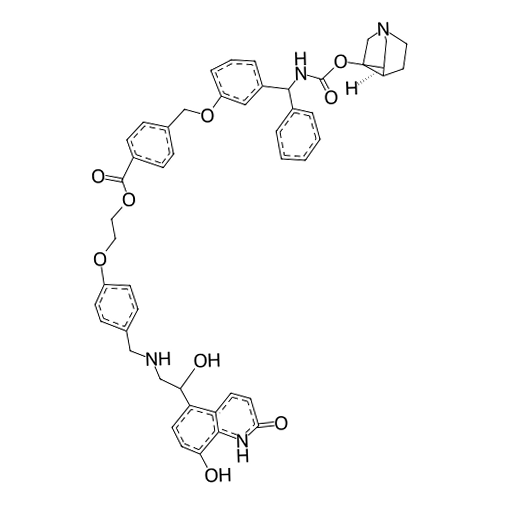 O=C(NC(c1ccccc1)c1cccc(OCc2ccc(C(=O)OCCOc3ccc(CNCC(O)c4ccc(O)c5[nH]c(=O)ccc45)cc3)cc2)c1)O[C@H]1CN2CCC1CC2